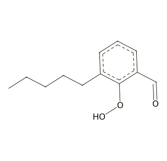 CCCCCc1cccc(C=O)c1OO